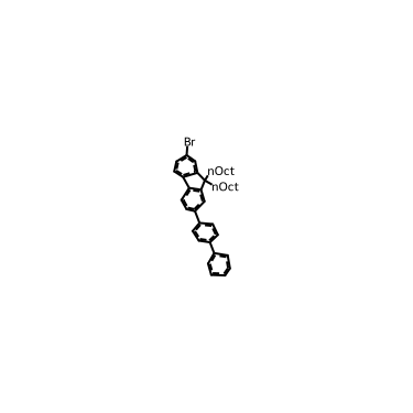 CCCCCCCCC1(CCCCCCCC)c2cc(Br)ccc2-c2ccc(-c3ccc(-c4ccccc4)cc3)cc21